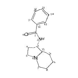 O=C(NC1CCN2CCCCC12)c1ccccc1